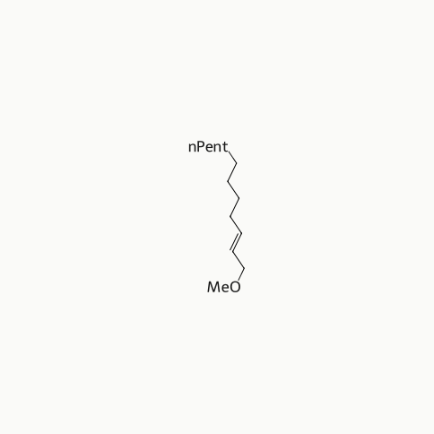 CCCCCCCCC/C=C/COC